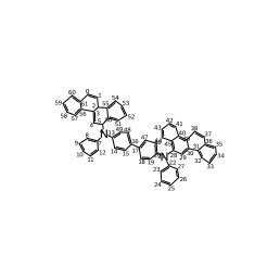 C1=CC2C(=CC(N(c3ccccc3)c3ccc(-c4ccc(N(c5ccccc5)c5cc6c7ccccc7ccc6c6ccccc56)cc4)cc3)c3ccccc32)c2ccccc21